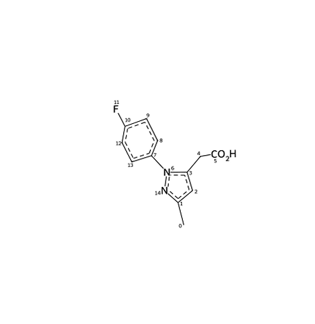 Cc1cc(CC(=O)O)n(-c2ccc(F)cc2)n1